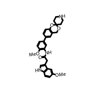 COc1ccc2[nH]cc(CC(=O)Nc3cc(-c4ccc5c(c4)COC4(CCNCC4)O5)ccc3OC)c2c1